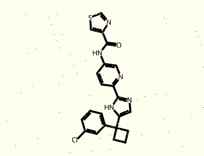 O=C(Nc1ccc(-c2ncc(C3(c4cccc(Cl)c4)CCC3)[nH]2)nc1)c1cscn1